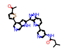 CC(=O)c1ccc(-c2cncc3[nH]c(-c4n[nH]c5ccc(-c6cncc(NC(=O)CC(C)C)c6)nc45)cc23)s1